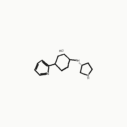 Cl.c1ccc(C2CCC(N[C@@H]3CCNC3)CC2)nc1